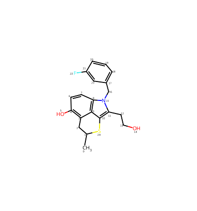 CC1Cc2c(O)ccc3c2c(c(CCO)n3Cc2cccc(F)c2)S1